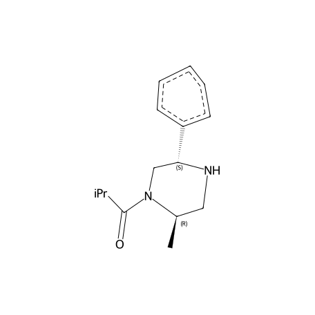 CC(C)C(=O)N1C[C@H](c2ccccc2)NC[C@H]1C